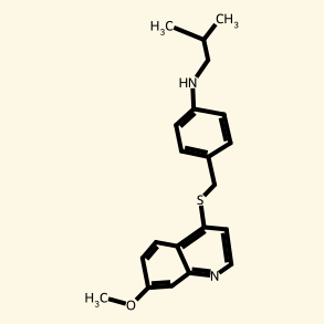 COc1ccc2c(SCc3ccc(NCC(C)C)cc3)ccnc2c1